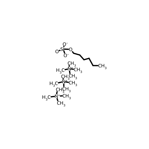 CCCCCCO[Si]([O-])([O-])[O-].C[N+](C)(C)C.C[N+](C)(C)C.C[N+](C)(C)C